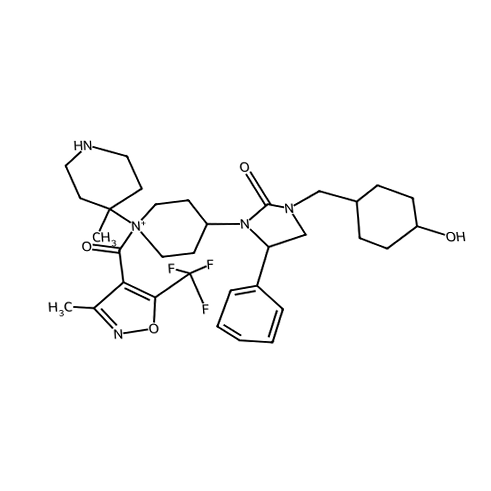 Cc1noc(C(F)(F)F)c1C(=O)[N+]1(C2(C)CCNCC2)CCC(N2C(=O)N(CC3CCC(O)CC3)CC2c2ccccc2)CC1